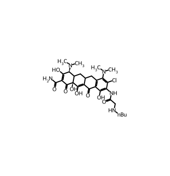 CCCCNCC(=O)Nc1c(O)c2c(c(N(C)C)c1Cl)CC1CC3[C@H](N(C)C)C(O)=C(C(N)=O)C(=O)[C@@]3(O)C(O)=C1C2=O